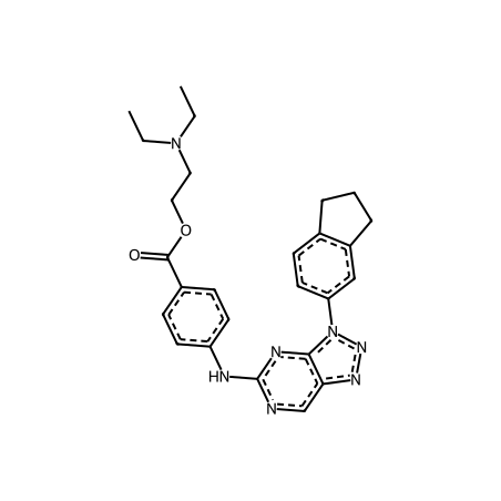 CCN(CC)CCOC(=O)c1ccc(Nc2ncc3nnn(-c4ccc5c(c4)CCC5)c3n2)cc1